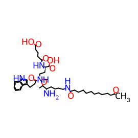 CC(=O)CCCCCCCCCCC(=O)NCCCC[C@H](N)C(=O)C[C@H](Cc1c[nH]c2ccccc12)C(=O)NCC[C@@H](NC(=O)CCCC(=O)O)C(=O)O